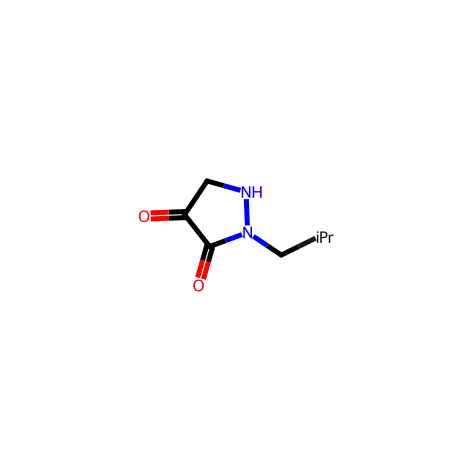 CC(C)CN1NCC(=O)C1=O